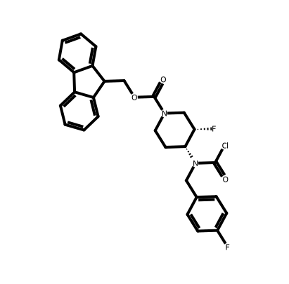 O=C(OCC1c2ccccc2-c2ccccc21)N1CC[C@@H](N(Cc2ccc(F)cc2)C(=O)Cl)[C@@H](F)C1